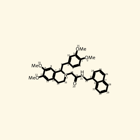 COc1ccc(CC2c3cc(OC)c(OC)cc3CCN2CC(=O)NCc2cccc3ccccc23)cc1OC